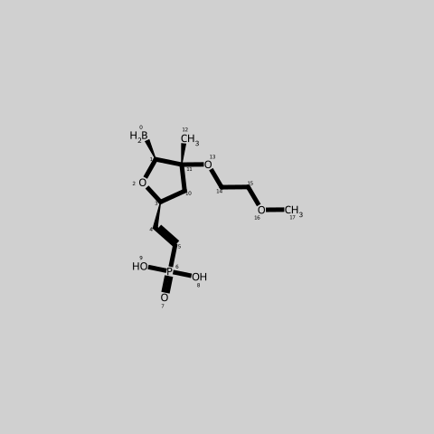 B[C@@H]1O[C@H](/C=C/P(=O)(O)O)C[C@@]1(C)OCCOC